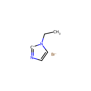 CCN1[C+]=NC=C1.[Br-]